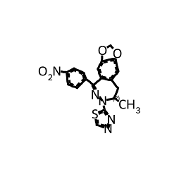 C[C@@H]1Cc2cc3c(cc2C(c2ccc([N+](=O)[O-])cc2)=NN1c1nncs1)OCO3